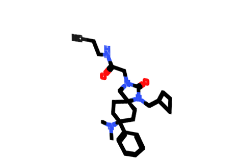 CN(C)[C@]1(c2ccccc2)CC[C@@]2(CC1)CN(CC(=O)NCCC#N)C(=O)N2CC1CCC1